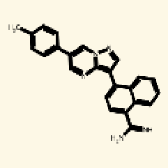 Cc1ccc(-c2cnc3c(-c4ccc(C(=N)N)c5ccccc45)cnn3c2)cc1